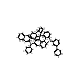 c1ccc(-c2cccc(-n3c4cccc5c4c4c6c(cc(N(c7ccccc7)c7ccc8ccccc8c7)cc6ccc43)C53c4ccccc4-c4ccccc43)c2)cc1